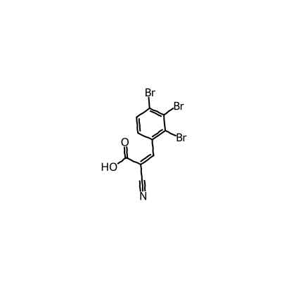 N#CC(=Cc1ccc(Br)c(Br)c1Br)C(=O)O